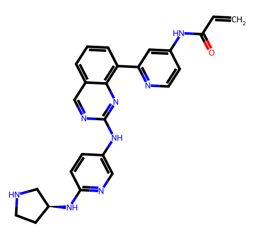 C=CC(=O)Nc1ccnc(-c2cccc3cnc(Nc4ccc(N[C@H]5CCNC5)nc4)nc23)c1